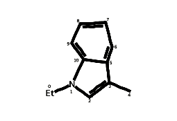 CCn1[c]c(C)c2ccccc21